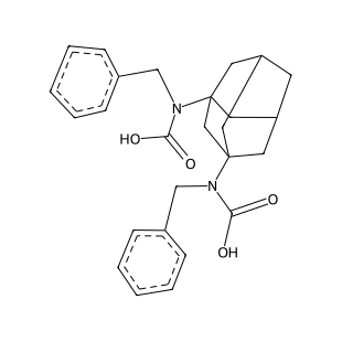 O=C(O)N(Cc1ccccc1)C12CC3CC(C1)CC(N(Cc1ccccc1)C(=O)O)(C3)C2